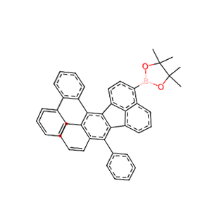 CC1(C)OB(c2ccc3c4c(cccc24)-c2c(-c4ccccc4)c4c(c(-c5ccccc5C5=C=C=CC=C5)c2-3)CCC=C4)OC1(C)C